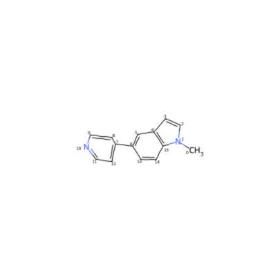 Cn1ccc2cc(-c3ccncc3)ccc21